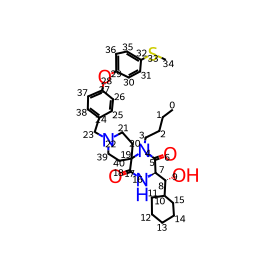 CCCCN1C(=O)[C@@H]([C@H](O)C2CCCCC2)NC(=O)C12CCN(Cc1ccc(Oc3ccc(SC)cc3)cc1)CC2